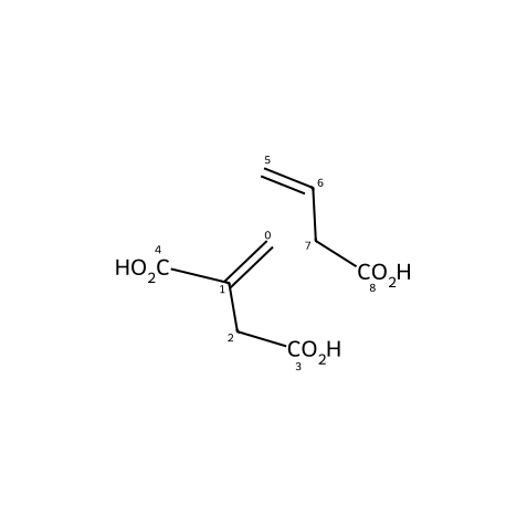 C=C(CC(=O)O)C(=O)O.C=CCC(=O)O